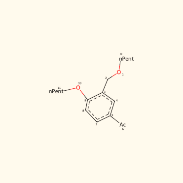 CCCCCOCc1cc(C(C)=O)ccc1OCCCCC